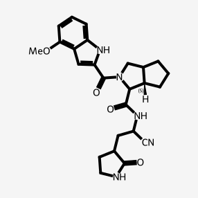 COc1cccc2[nH]c(C(=O)N3CC4CCC[C@@H]4C3C(=O)NC(C#N)CC3CCNC3=O)cc12